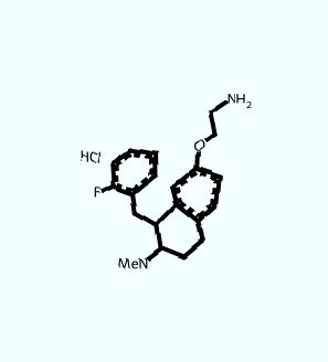 CNC1CCc2ccc(OCCN)cc2C1Cc1ccccc1F.Cl